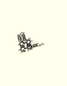 O.O.O.O.O.O.[Cl-].[Cl-].[Cu+2].c1ccc(-c2ccccn2)nc1.c1ccc(-c2ccccn2)nc1